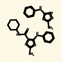 Nc1n[nH]c(Nc2ccccc2)n1.Nc1nc(Nc2ccccc2)n(C(=O)NC2CCCCC2)n1